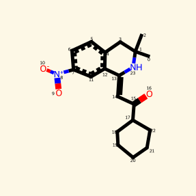 CC1(C)Cc2ccc([N+](=O)[O-])cc2C(=CC(=O)C2CCCCC2)N1